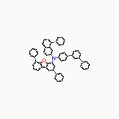 c1ccc(-c2cccc(-c3ccc(N(c4ccc5cccc(-c6ccccc6)c5c4)c4cc(-c5ccccc5)cc5c4oc4c(-c6ccccc6)cccc45)cc3)c2)cc1